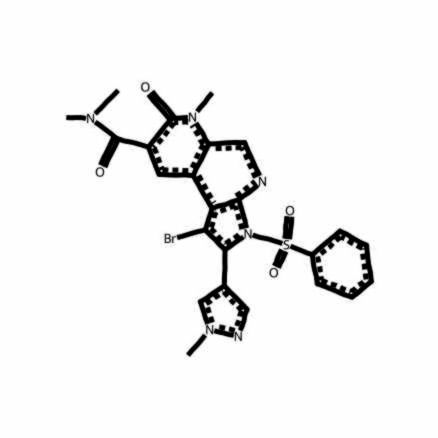 CN(C)C(=O)c1cc2c3c(Br)c(-c4cnn(C)c4)n(S(=O)(=O)c4ccccc4)c3ncc2n(C)c1=O